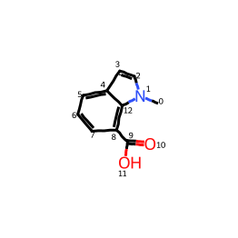 Cn1c[c]c2cccc(C(=O)O)c21